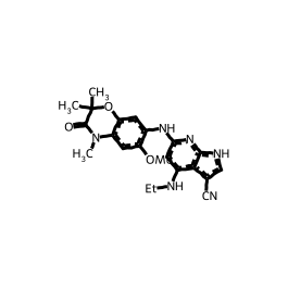 CCNc1cc(Nc2cc3c(cc2OC)N(C)C(=O)C(C)(C)O3)nc2[nH]cc(C#N)c12